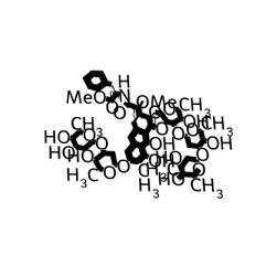 COC(=O)[C@H](Cc1ccccc1)NC(=O)[C@@H](OC)[C@@H]1Cc2cc3cc(OC4CC(OC5CC(O)C(O)C(C)O5)C(O)C(C)O4)c(C)c(O)c3c(O)c2C(=O)[C@H]1OC1CC(OC2CC(OC3CC(C)(O)C(O)C(C)O3)C(O)C(C)O2)C(O)C(C)O1